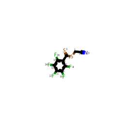 N#CCSC(=S)c1c(F)c(F)c(F)c(F)c1F